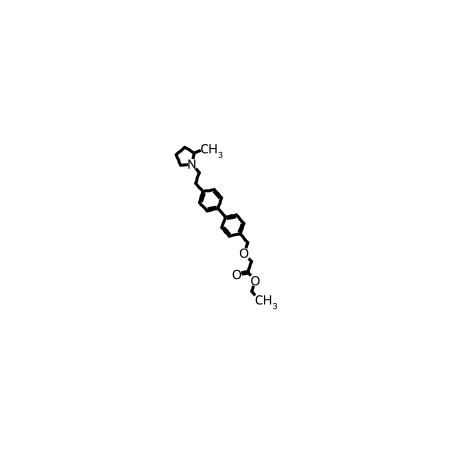 CCOC(=O)COCc1ccc(-c2ccc(CCN3CCCC3C)cc2)cc1